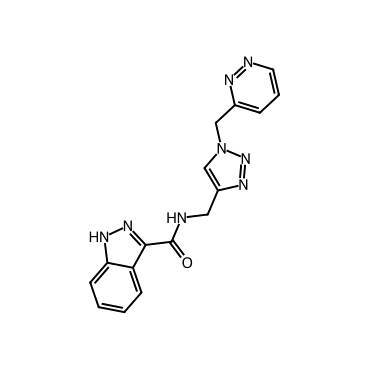 O=C(NCc1cn(Cc2cccnn2)nn1)c1n[nH]c2ccccc12